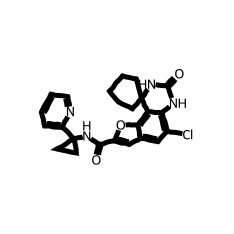 O=C1Nc2c(Cl)cc3cc(C(=O)NC4(c5ccccn5)CC4)oc3c2C2(CCCCC2)N1